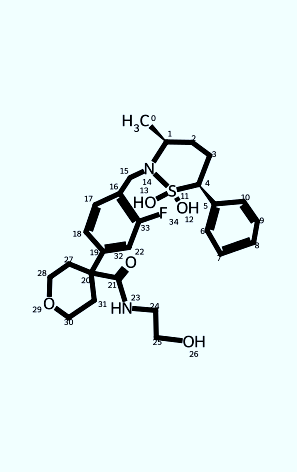 C[C@H]1CC[C@@H](c2ccccc2)S(O)(O)N1Cc1ccc(C2(C(=O)NCCO)CCOCC2)cc1F